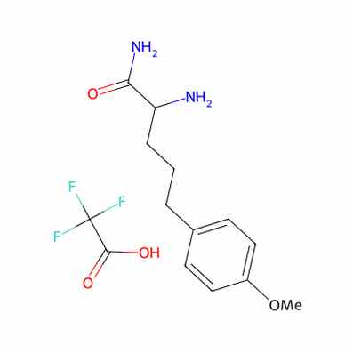 COc1ccc(CCCC(N)C(N)=O)cc1.O=C(O)C(F)(F)F